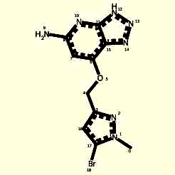 Cn1nc(COc2cc(N)nc3[nH]nnc23)cc1Br